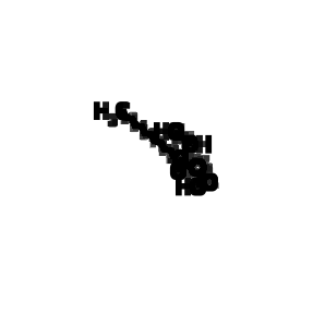 CCCCCCCCCCCCOC(=O)C1CCCC(C(=O)O)C1.OCCO